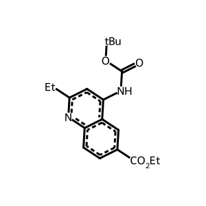 CCOC(=O)c1ccc2nc(CC)cc(NC(=O)OC(C)(C)C)c2c1